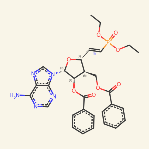 CCOP(=O)(/C=C/[C@H]1O[C@@H](n2cnc3c(N)ncnc32)[C@H](OC(=O)c2ccccc2)[C@@H]1COC(=O)c1ccccc1)OCC